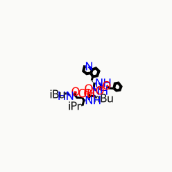 CCCC[C@H](NC(=O)[C@H](Cc1cccc2ncccc12)NC(=O)OCc1ccccc1)C(=O)NC(CC(C)C)C(O)CC(=O)NCC(C)CC